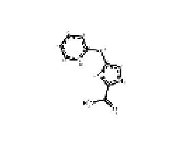 NC(=O)c1ncc(Sc2ccccn2)s1